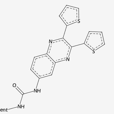 CCCCCNC(=O)Nc1ccc2nc(-c3cccs3)c(-c3cccs3)nc2c1